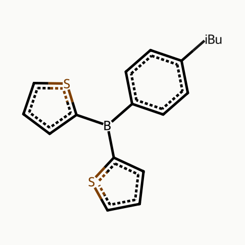 CCC(C)c1ccc(B(c2cccs2)c2cccs2)cc1